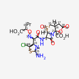 CC(C)[C@@H](O/N=C(\C(=O)N[C@@H]1C(=O)N2[C@@H]1[S@@+]([O-])C[C@@H]1CC(=O)O[C@@]12C(=O)O)c1nc(N)sc1Cl)C(=O)O